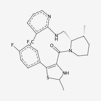 CC1NC(C(=O)N2CCC[C@@H](C)[C@H]2CNc2ncccc2C(F)(F)F)=C(c2ccc(F)cc2)S1